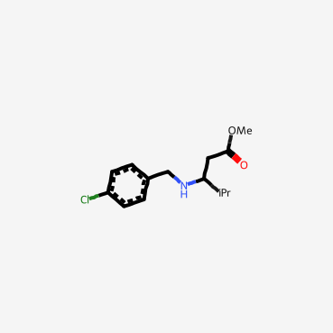 COC(=O)CC(NCc1ccc(Cl)cc1)C(C)C